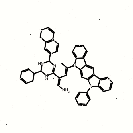 C/C(=C\C(=C/N)C1=NC(c2ccc3c(c2)CCC=C3)NC(C2C=CC=CC2)N1)n1c2ccccc2c2cc3c4ccccc4n(-c4ccccc4)c3cc21